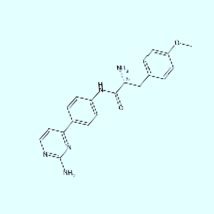 COc1ccc(C[C@@H](N)C(=O)Nc2ccc(-c3ccnc(N)n3)cc2)cc1